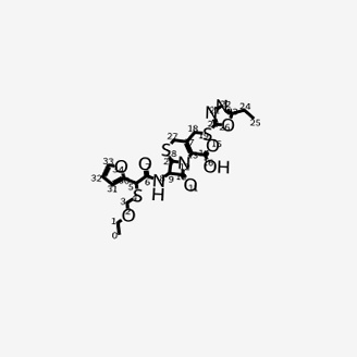 CCOCSC(C(=O)NC1C(=O)N2C(C(=O)O)=C(CSc3nnc(CC)o3)CSC12)c1ccco1